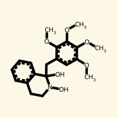 COc1cc(CC2(O)c3ccccc3CCN2O)c(OC)c(OC)c1OC